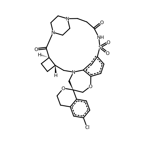 O=C1CCN2CCN(CC2)C(=O)[C@@H]2CC[C@H]2CN2C[C@]3(COc4ccc(cc42)S(=O)(=O)N1)OCCc1cc(Cl)ccc13